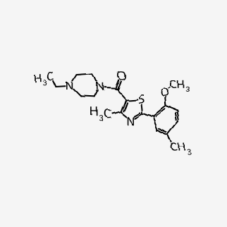 CCN1CCN(C(=O)c2sc(-c3cc(C)ccc3OC)nc2C)CC1